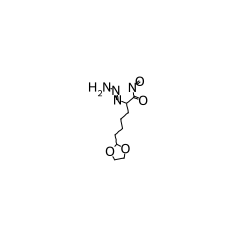 NN=NC(CCCCC1OCCO1)C(=O)N=O